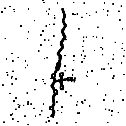 CCCCCCCCCCC#COC(COCCOCC)S(=O)(=O)O